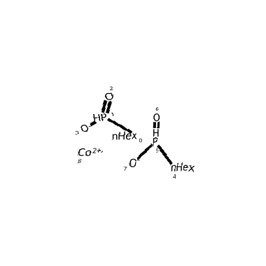 CCCCCC[PH](=O)[O-].CCCCCC[PH](=O)[O-].[Co+2]